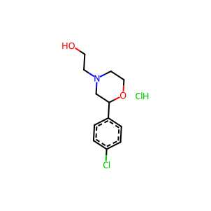 Cl.OCCN1CCOC(c2ccc(Cl)cc2)C1